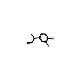 C=C[C](C)c1ccc(CC)c(F)c1